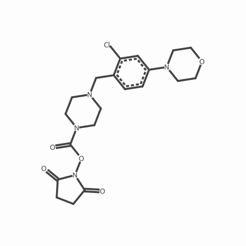 O=C(ON1C(=O)CCC1=O)N1CCN(Cc2ccc(N3CCOCC3)cc2Cl)CC1